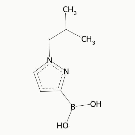 CC(C)Cn1ccc(B(O)O)n1